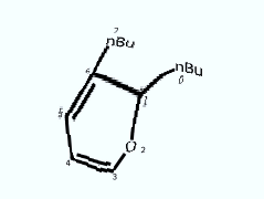 CCCC[C]1OC=CC=C1CCCC